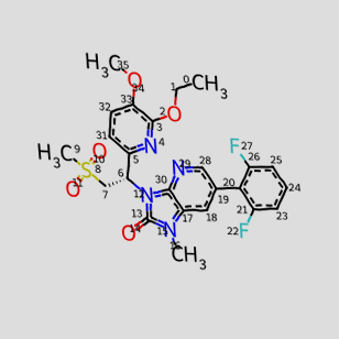 CCOc1nc([C@@H](CS(C)(=O)=O)n2c(=O)n(C)c3cc(-c4c(F)cccc4F)cnc32)ccc1OC